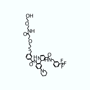 O=C(CCOCCSCc1cccc(C(=O)Nc2ccc(N3CCCCC3)cc2-c2cc(C(=O)NCc3cccc(C(F)(F)F)c3)ccn2)c1)NCCOCCO